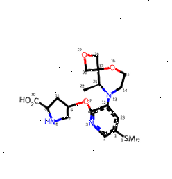 CSc1cnc(OC2CNC(C(=O)O)C2)c(N2CCOC3(COC3)[C@@H]2C)c1